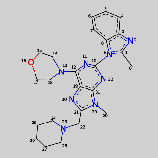 Cc1nc2ccccc2n1-c1nc(N2CCOCC2)c2nc(CN3CCCCC3)n(C)c2n1